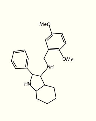 COc1ccc(OC)c(CNC2C(c3ccccc3)NC3CCCCC32)c1